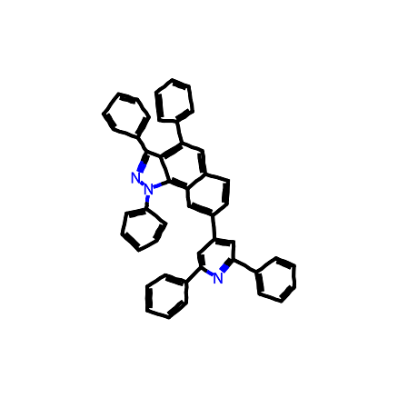 c1ccc(-c2cc(-c3ccc4cc(-c5ccccc5)c5c(-c6ccccc6)nn(-c6ccccc6)c5c4c3)cc(-c3ccccc3)n2)cc1